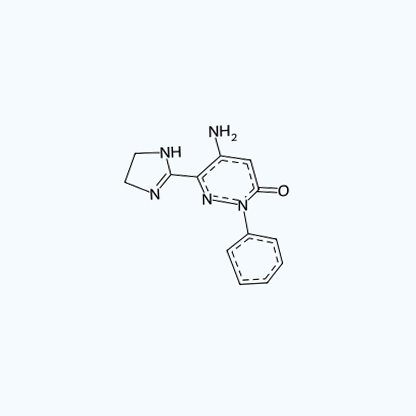 Nc1cc(=O)n(-c2ccccc2)nc1C1=NCCN1